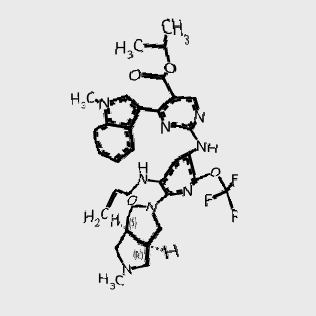 C=CC(=O)Nc1cc(Nc2ncc(C(=O)OC(C)C)c(-c3cn(C)c4ccccc34)n2)c(OC(F)(F)F)nc1N1C[C@H]2CN(C)C[C@H]2C1